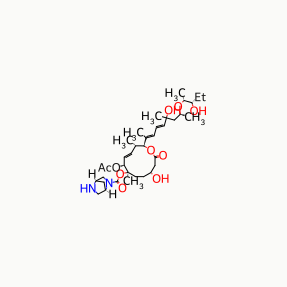 CC[C@H](O)[C@@H](C)O[C@@H](C)CC(C)(O)/C=C/C=C(\C)[C@H]1OC(=O)C[C@H](O)CC[C@@](C)(OC(=O)N2C[C@H]3C[C@@H]2CN3)[C@@H](OC(C)=O)/C=C/[C@@H]1C